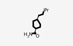 CC(C)CC[C@H]1CC[C@@H](C(N)=O)CC1